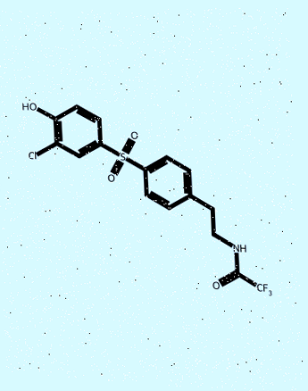 O=C(NCCc1ccc(S(=O)(=O)c2ccc(O)c(Cl)c2)cc1)C(F)(F)F